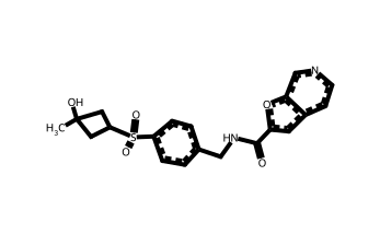 CC1(O)CC(S(=O)(=O)c2ccc(CNC(=O)c3cc4ccncc4o3)cc2)C1